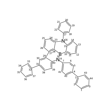 c1ccc(-c2ccc(N3B4c5ccccc5N(c5ccccc5)c5cccc(c54)-c4cc(-c5ccccc5)ccc43)cc2)cc1